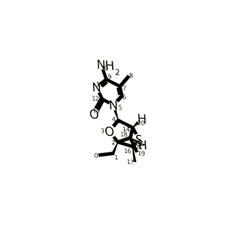 CC[C@]12O[C@@H](n3cc(C)c(N)nc3=O)[C@H](S[C@H]1C)[C@@H]2C